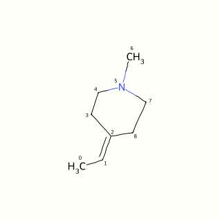 CC=C1CCN(C)CC1